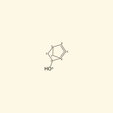 OC1CC2C=C=C1C2